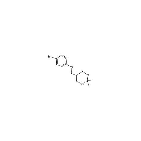 CC1(C)OCC(COc2ccc(Br)cc2)CO1